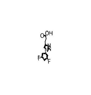 O=C(O)CCc1cn(-c2cc(F)cc(F)c2)nn1